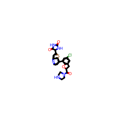 O=C1NC(=O)C(c2cc3nccc(-c4cc(Cl)cc5c4OC(C(=O)N4CCNCC4)C5)c3s2)N1